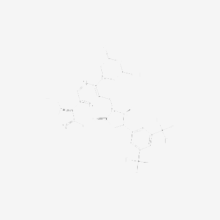 Cc1noc(C)c1-c1cnc(N2CC(C)OC(C)C2)c(CN2C(=O)OC(c3cc(C(F)(F)F)cc(C(F)(F)F)c3)[C@@H]2C)n1